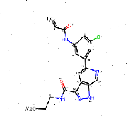 C=CC(=O)Nc1cc(Cl)cc(-c2cc3c(C(=O)NCCOC)n[nH]c3cn2)c1